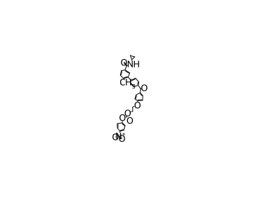 Cc1ccc(C(=O)NC2CC2)cc1-c1ccc(C(=O)c2ccc(OCCOC(=O)Oc3ccc([N+](=O)[O-])cc3)cc2)cc1